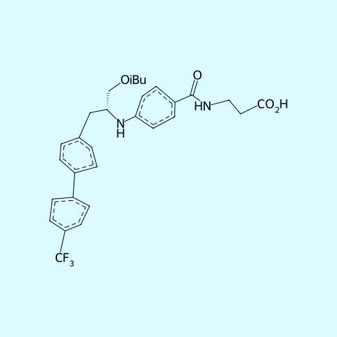 CC(C)COC[C@@H](Cc1ccc(-c2ccc(C(F)(F)F)cc2)cc1)Nc1ccc(C(=O)NCCC(=O)O)cc1